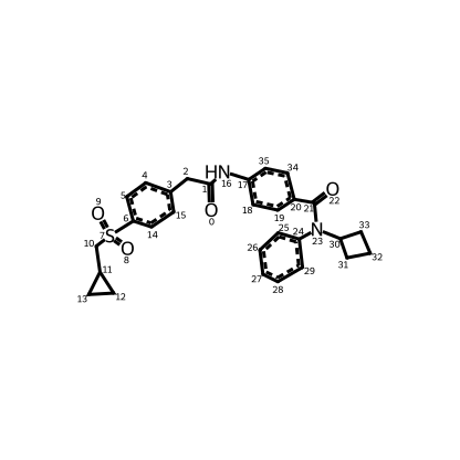 O=C(Cc1ccc(S(=O)(=O)CC2CC2)cc1)Nc1ccc(C(=O)N(c2ccccc2)C2CCC2)cc1